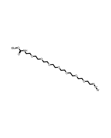 CC(C)(C)OC(=O)NCCOCCOCCOCCOCCOCCOCCOCCN=[N+]=[N-]